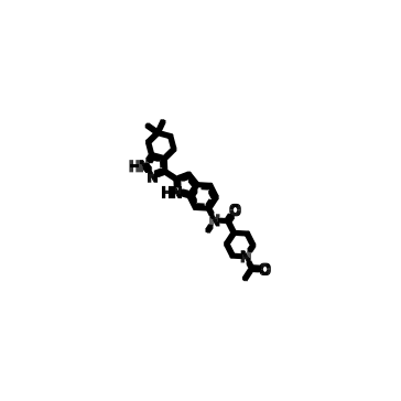 CC(=O)N1CCC(C(=O)N(C)c2ccc3cc(-c4n[nH]c5c4CCC(C)(C)C5)[nH]c3c2)CC1